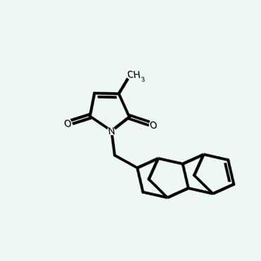 CC1=CC(=O)N(CC2CC3CC2C2C4C=CC(C4)C32)C1=O